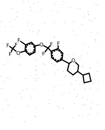 Fc1cc(OC(F)(F)c2ccc(C3CCC(C4CCC4)CO3)cc2F)ccc1OC(F)(F)F